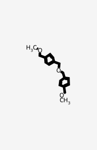 COCc1ccc(COCc2ccc(COC)cc2)cc1